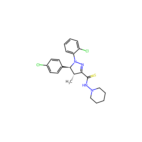 C[C@H]1C(C(=S)NN2CCCCC2)=NN(c2ccccc2Cl)[C@@H]1c1ccc(Cl)cc1